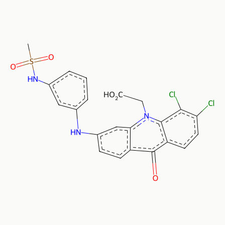 CS(=O)(=O)Nc1cccc(Nc2ccc3c(=O)c4ccc(Cl)c(Cl)c4n(CC(=O)O)c3c2)c1